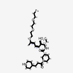 C=C(/C=C\C=C(/C)OCCOCCOCCF)[C@H](CC(=O)O)NC(=O)[C@@H]1CCCN(C(=O)CCC2CCNCC2)C1